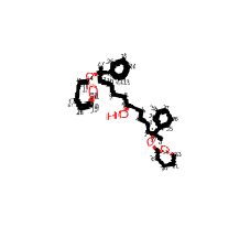 CC(CCCCC(O)CCCCC(C)(OC1CCCCO1)c1ccccc1)(OC1CCCCO1)c1ccccc1